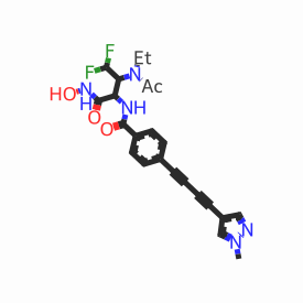 CCN(C(C)=O)C(C(F)F)C(NC(=O)c1ccc(C#CC#Cc2cnn(C)c2)cc1)C(=O)NO